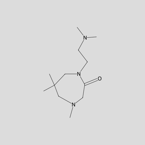 CN(C)CCN1CC(C)(C)CN(C)CC1=O